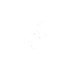 c1ccc(-c2nc(-c3ccc4ccccc4c3)nc(-c3ccccc3-c3ccc4c(c3)oc3cc(C5(c6ccccc6)c6ccccc6-c6ccccc65)ccc34)n2)cc1